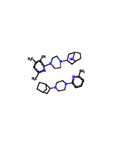 Cc1cc(C)c(C#N)c(N2CCN(C3CC4CCC(C3)N4)CC2)n1.Cc1cccc(N2CCN(C3CC4CCC3C4)CC2)n1